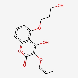 C/C=C\Oc1c(O)c2c(OCCCO)cccc2oc1=O